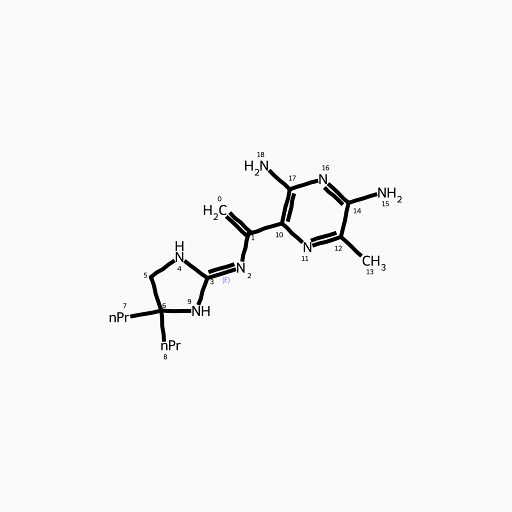 C=C(/N=C1\NCC(CCC)(CCC)N1)c1nc(C)c(N)nc1N